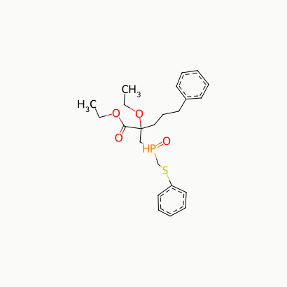 CCOC(=O)C(CCCc1ccccc1)(C[PH](=O)CSc1ccccc1)OCC